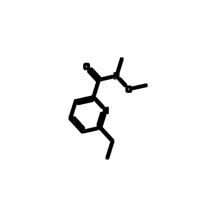 CCc1cccc(C(=O)N(C)OC)n1